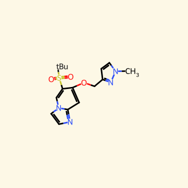 Cn1ccc(COc2cc3nccn3cc2S(=O)(=O)C(C)(C)C)n1